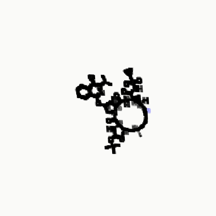 CC(C)n1nc(O[C@@H]2C[C@H]3C(=O)N[C@]4(C(=O)NS(=O)(=O)C5CC5)C[C@H]4/C=C\CC[C@H](C)C[C@@H](C)[C@H](NC(=O)OC(C)(C)C)C(=O)N3C2)c2ccccc2c1=O